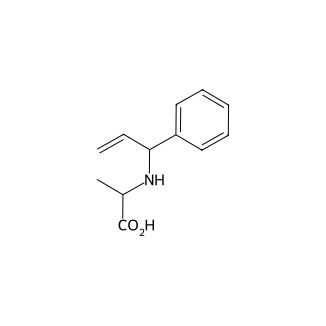 C=CC(NC(C)C(=O)O)c1ccccc1